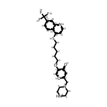 O=c1cc(CN2CCNCC2)occ1OCCCCCSc1ccnc2cc(C(F)(F)F)ccc12